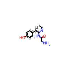 C/C=N\C(NC(=O)CN)=C(/CC)c1ccc(O)cc1